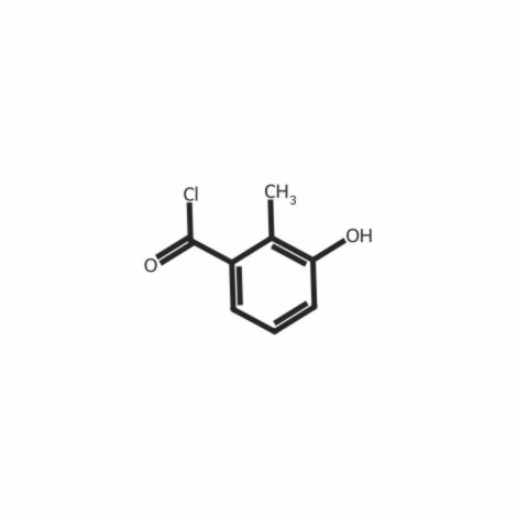 Cc1c(O)cccc1C(=O)Cl